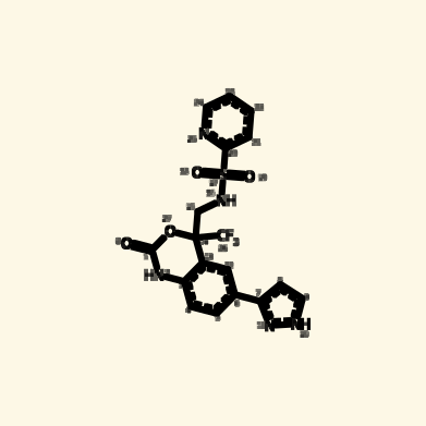 O=C1Nc2ccc(-c3cc[nH]n3)cc2C(CNS(=O)(=O)c2ccccn2)(C(F)(F)F)O1